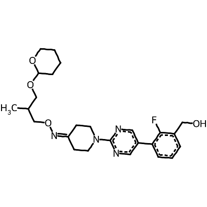 CC(CON=C1CCN(c2ncc(-c3cccc(CO)c3F)cn2)CC1)COC1CCCCO1